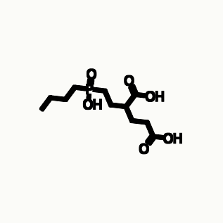 CCCCP(=O)(O)CCC(CCC(=O)O)C(=O)O